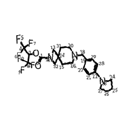 O=C(OC(C(F)(F)F)C(F)(F)F)N1CC2(CCN(Cc3ccc(N4CCCC4)cc3)CC2)C1